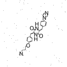 CN(C)CCCOc1ccc(C=c2[nH]c(=O)c(=Cc3ccc(-n4ccnc4)cc3)[nH]c2=O)cc1